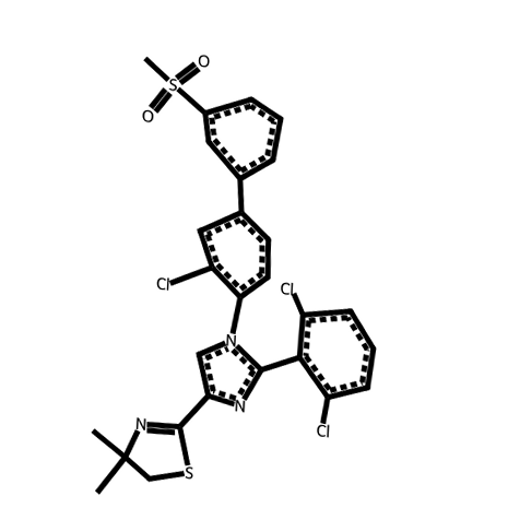 CC1(C)CSC(c2cn(-c3ccc(-c4cccc(S(C)(=O)=O)c4)cc3Cl)c(-c3c(Cl)cccc3Cl)n2)=N1